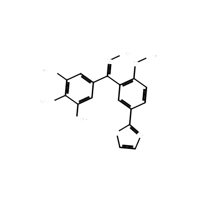 CON=C(c1cc(OC)c(OC)c(OC)c1)c1cc(-c2nccs2)ccc1NOC